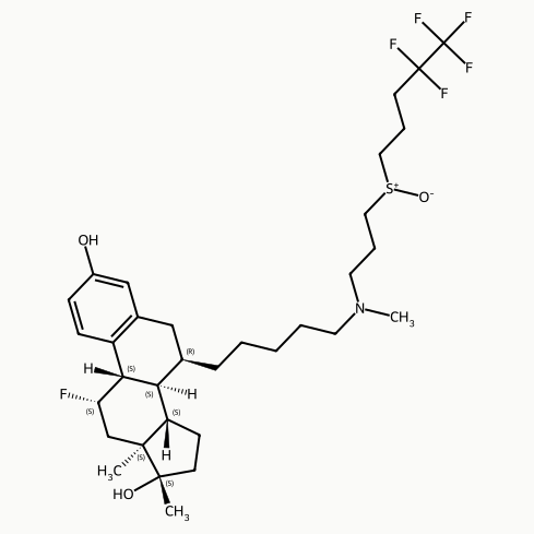 CN(CCCCC[C@@H]1Cc2cc(O)ccc2[C@@H]2[C@@H]1[C@@H]1CC[C@](C)(O)[C@@]1(C)C[C@@H]2F)CCC[S+]([O-])CCCC(F)(F)C(F)(F)F